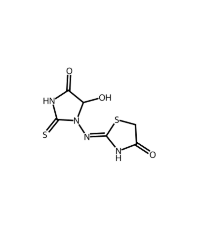 O=C1CSC(=NN2C(=S)NC(=O)C2O)N1